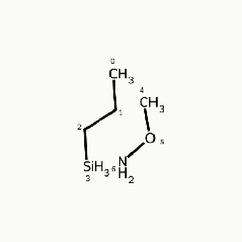 CCC[SiH3].CON